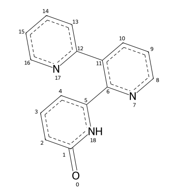 O=c1cccc(-c2ncccc2-c2ccccn2)[nH]1